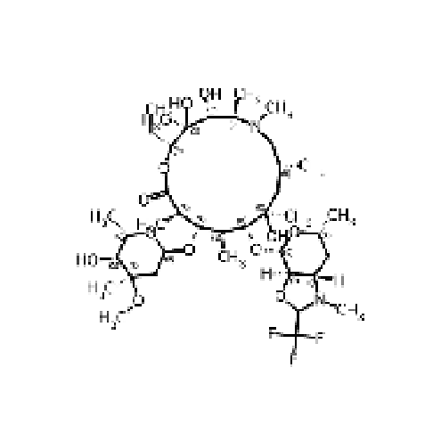 CC[C@H]1OC(=O)[C@H](C)[C@@H](O[C@H]2C[C@@](C)(OC)[C@@H](O)[C@H](C)O2)[C@H](C)[C@@H](O[C@@H]2O[C@H](C)C[C@H]3[C@H]2OC(C(F)(F)F)N3C)[C@](C)(O)C[C@@H](C)CN(C)[C@H](C)[C@@H](O)[C@]1(C)O